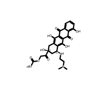 CCCCC(=O)OCC(=O)[C@]1(O)Cc2c(O)c3c(c(O)c2[C@@H](NCCN(C)C)C1)C(=O)c1c(O)cccc1C3=O